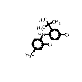 Cc1ccc(Nc2ccc(Cl)cc2C(C)(C)C)c(Cl)c1